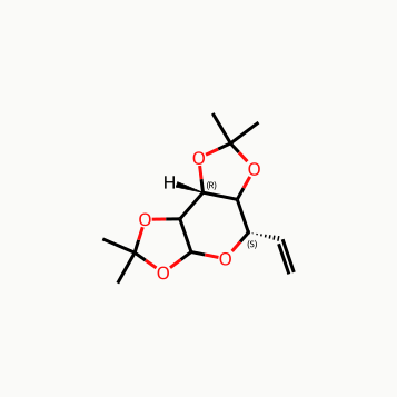 C=C[C@@H]1OC2OC(C)(C)OC2[C@@H]2OC(C)(C)OC21